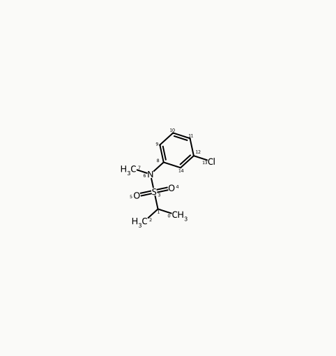 CC(C)S(=O)(=O)N(C)c1cccc(Cl)c1